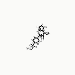 CC(C)(O)c1ccc(-c2nn3cccc3c(=O)[nH]2)cc1